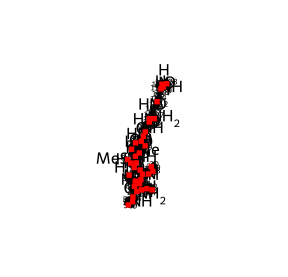 CSCC[C@H](NC(=O)[C@H](C)NC(=O)[C@H](Cc1c[nH]c2ccccc12)NC(=O)[C@@H]1CCCN1C(=O)[C@H](Cc1c[nH]cn1)NC(=O)[C@H](Cc1c[nH]c2ccccc12)NC(=O)[C@@H](N)Cc1ccccc1)C(=O)N[C@@H](CCSC)C(=O)N[C@@H](Cc1ccc(O)cc1)C(=O)N[C@@H](C)C(=O)NCC(=O)NCC(=O)NCC(=O)N[C@@H](CCCCNC(=O)CCCC[C@@H]1SC[C@@H]2NC(=O)N[C@@H]21)C(N)=O